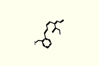 C=C/C=C(/C=C\C=C\c1ccccc1CI)C(=C)CC